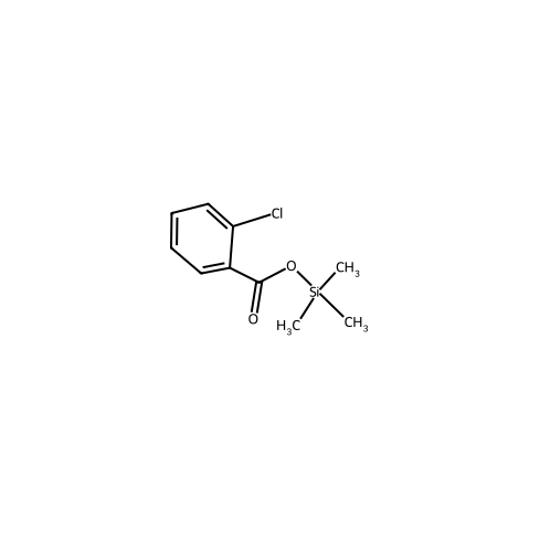 C[Si](C)(C)OC(=O)c1ccccc1Cl